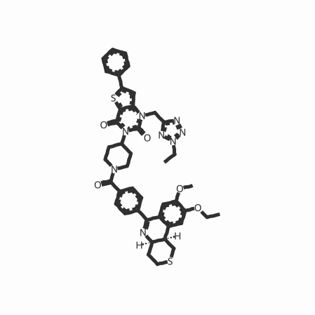 CCOc1cc2c(cc1OC)C(c1ccc(C(=O)N3CCC(n4c(=O)c5sc(-c6ccccc6)cc5n(Cc5nnn(CC)n5)c4=O)CC3)cc1)=N[C@@H]1CCSC[C@H]21